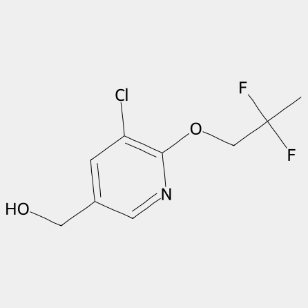 CC(F)(F)COc1ncc(CO)cc1Cl